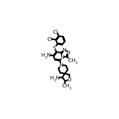 Cc1nnc2c(Sc3cccc(Cl)c3Cl)c(N)cc(N3CCC4(CC3)COC(C)C4N)n12